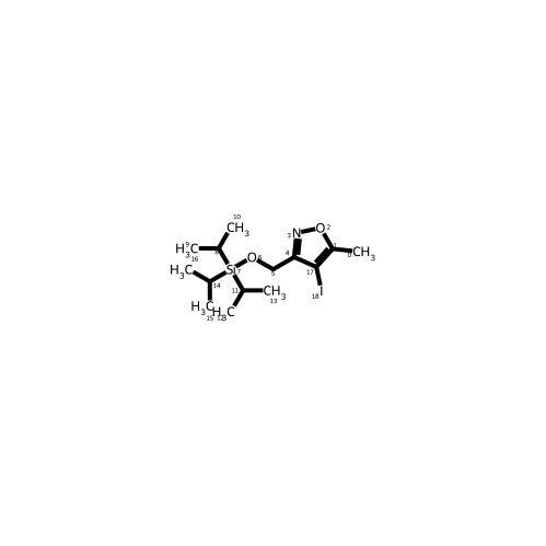 Cc1onc(CO[Si](C(C)C)(C(C)C)C(C)C)c1I